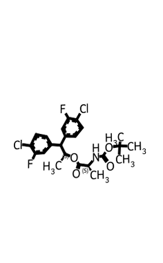 C[C@H](NC(=O)OC(C)(C)C)C(=O)O[C@@H](C)C(c1ccc(Cl)c(F)c1)c1ccc(Cl)c(F)c1